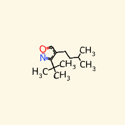 CC(C)CCc1conc1C(C)(C)C